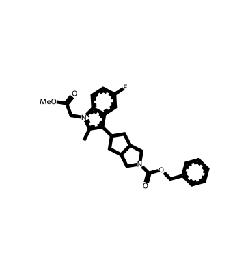 COC(=O)Cn1c(C)c(C2CC3CN(C(=O)OCc4ccccc4)CC3C2)c2cc(F)ccc21